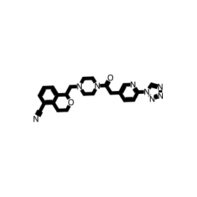 N#Cc1cccc2c1CCOC2CN1CCN(C(=O)Cc2ccc(-n3cnnn3)nc2)CC1